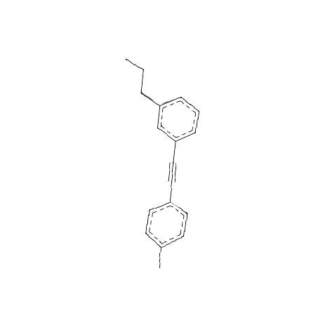 CCCc1cccc(C#Cc2ccc(C)cc2)c1